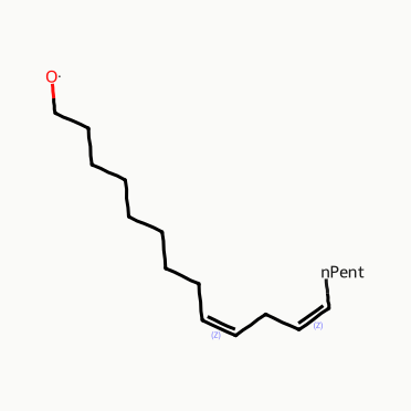 CCCCC/C=C\C/C=C\CCCCCCCC[O]